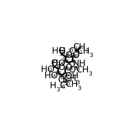 CC(=O)NC1C(O[C@@H]2OC(C(=O)O)[C@@H](O)C(OC(C)(C)C)C2O)[C@H](O)C(CO)O[C@H]1OC(C)(C)C